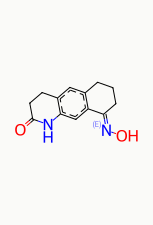 O=C1CCc2cc3c(cc2N1)/C(=N/O)CCC3